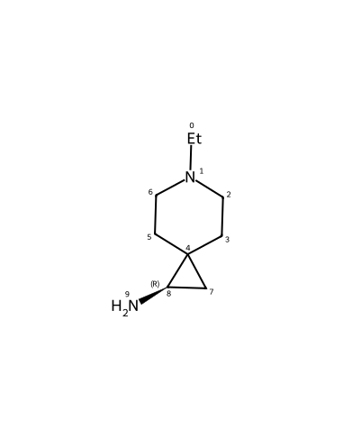 CCN1CCC2(CC1)C[C@H]2N